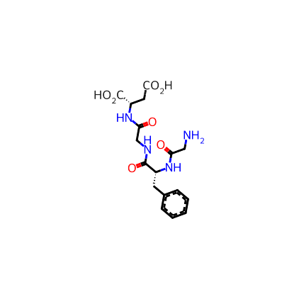 NCC(=O)N[C@H](Cc1ccccc1)C(=O)NCC(=O)N[C@@H](CC(=O)O)C(=O)O